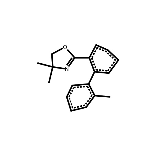 Cc1ccccc1-c1ccccc1C1=NC(C)(C)CO1